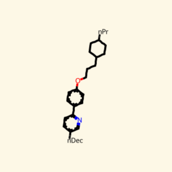 CCCCCCCCCCc1ccc(-c2ccc(OCCCC3CCC(CCC)CC3)cc2)nc1